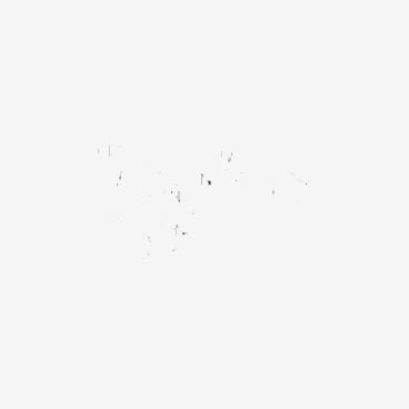 O=C(OCc1ccccc1)N1CCN(C2c3ccc(Cl)cc3CCc3cccnc32)CC1